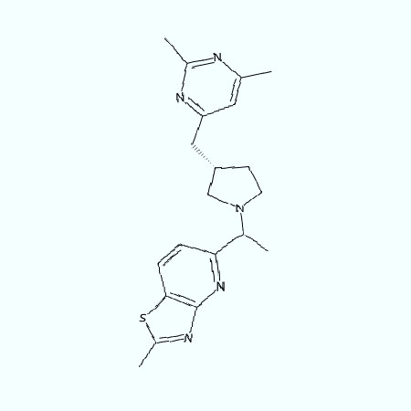 Cc1cc(C[C@@H]2CCN(C(C)c3ccc4sc(C)nc4n3)C2)nc(C)n1